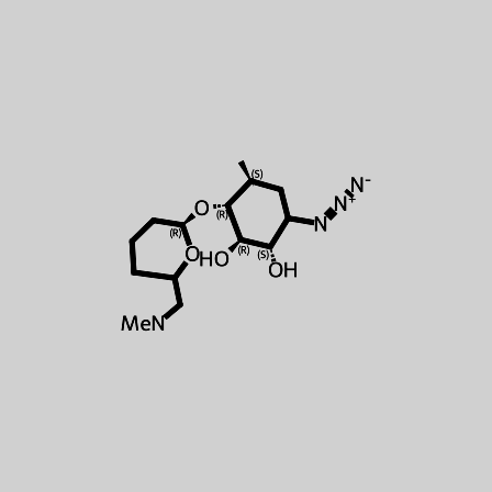 CNCC1CCC[C@@H](O[C@H]2[C@H](O)[C@@H](O)C(N=[N+]=[N-])C[C@@H]2C)O1